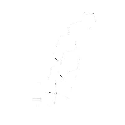 CC(=O)O[C@]1(C(C)=O)CC[C@H]2[C@@H]3CC=C4C=C(OC5CCCC5)CC[C@]4(C)[C@H]3CC[C@@]21C